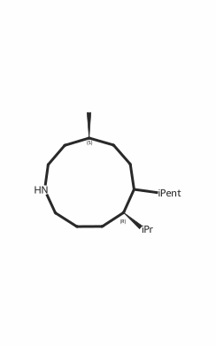 CCCC(C)C1CC[C@H](C)CCNCCC[C@@H]1C(C)C